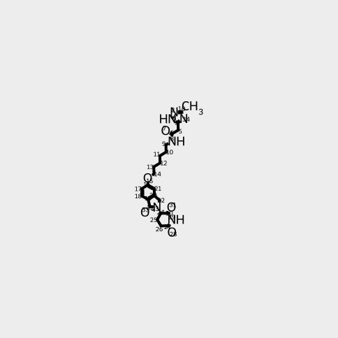 Cc1n[nH]c(CC(=O)NCCCCCCOc2ccc3c(c2)CN(C2CCC(=O)NC2=O)C3=O)n1